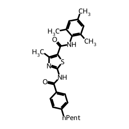 CCCCCc1ccc(C(=O)Nc2nc(C)c(C(=O)Nc3c(C)cc(C)cc3C)s2)cc1